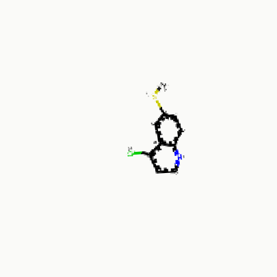 CC(=O)Sc1ccc2nccc(Cl)c2c1